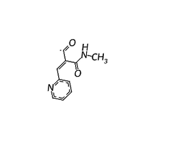 CNC(=O)C([C]=O)=Cc1ccccn1